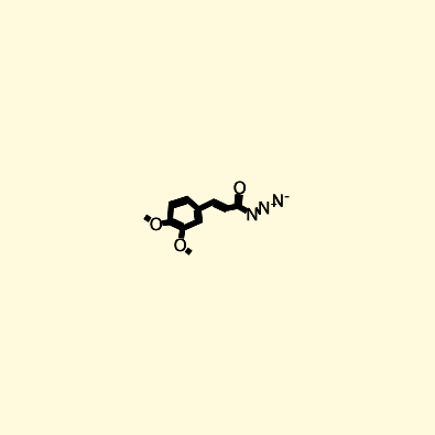 COc1ccc(/C=C/C(=O)N=[N+]=[N-])cc1OC